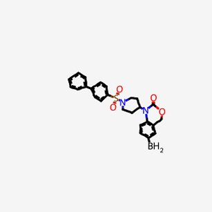 Bc1ccc2c(c1)COC(=O)N2C1CCN(S(=O)(=O)c2ccc(-c3ccccc3)cc2)CC1